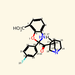 O=C(O)c1cccc2c1OC(C(=O)[C@H]1CN3CCC1CC3)(c1ccc(F)cc1)N2